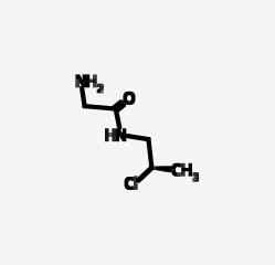 C[C@@H](Cl)CNC(=O)CN